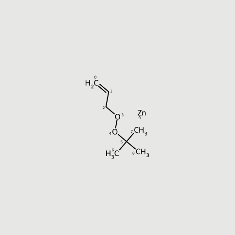 C=CCOOC(C)(C)C.[Zn]